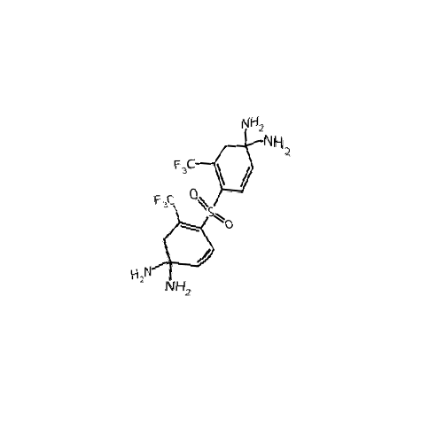 NC1(N)C=CC(S(=O)(=O)C2=C(C(F)(F)F)CC(N)(N)C=C2)=C(C(F)(F)F)C1